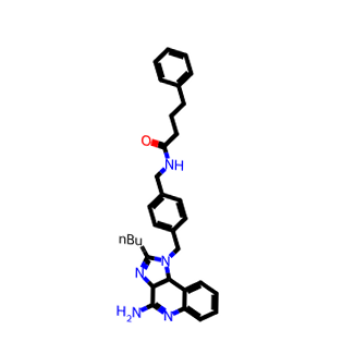 CCCCC1=NC2C(N)=Nc3ccccc3C2N1Cc1ccc(CNC(=O)CCCc2ccccc2)cc1